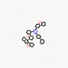 c1ccc(-c2ccc(-c3nc(-c4ccc5oc6ccccc6c5c4)nc(-c4cccc5oc6c(-c7c8ccccc8cc8oc9ccccc9c78)cccc6c45)n3)cc2)cc1